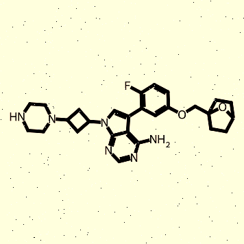 Nc1ncnc2c1c(-c1cc(OCC34CCC(CC3)O4)ccc1F)cn2C1CC(N2CCNCC2)C1